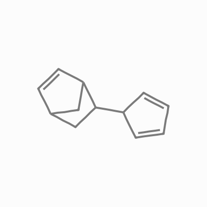 C1=CC(C2CC3C=CC2C3)C=C1